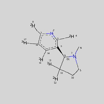 [2H]c1nc([2H])c([C@H]2N(C)CCC2([2H])[2H])c([2H])c1[2H]